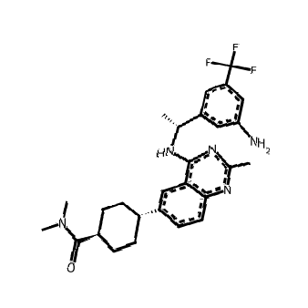 Cc1nc(N[C@H](C)c2cc(N)cc(C(F)(F)F)c2)c2cc([C@H]3CC[C@H](C(=O)N(C)C)CC3)ccc2n1